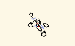 CC1(C)c2ccccc2-c2c(-c3ccccc3-n3c4ccccc4c4c3ccc3c5ccccc5n(-c5ccccc5)c34)nc(-c3ccccc3)nc21